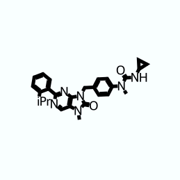 CC(C)c1ccccc1-c1ncc2c(n1)n(Cc1ccc(N(C)C(=O)NC3CC3)cc1)c(=O)n2C